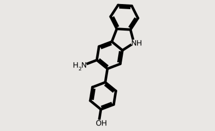 Nc1cc2c(cc1-c1ccc(O)cc1)[nH]c1ccccc12